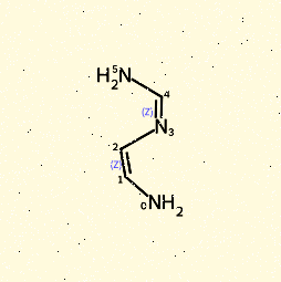 N/C=C\N=C/N